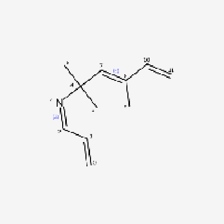 C=C/C=N\C(C)(C)/C=C(\C)C=C